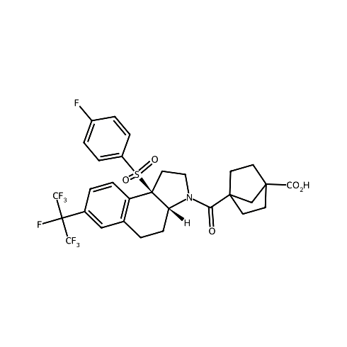 O=C(O)C12CCC(C(=O)N3CC[C@@]4(S(=O)(=O)c5ccc(F)cc5)c5ccc(C(F)(C(F)(F)F)C(F)(F)F)cc5CC[C@@H]34)(CC1)C2